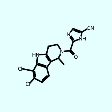 CC1c2c([nH]c3c(Cl)c(Cl)ccc23)CCN1C(=O)c1ncc(C#N)[nH]1